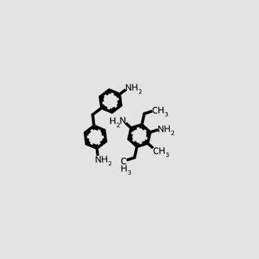 CCc1cc(N)c(CC)c(N)c1C.Nc1ccc(Cc2ccc(N)cc2)cc1